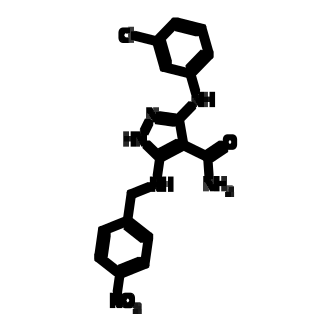 NC(=O)c1c(Nc2cccc(Cl)c2)n[nH]c1NCc1ccc([N+](=O)[O-])cc1